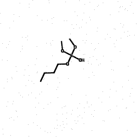 CCCCO[Si](O)(OC)OC